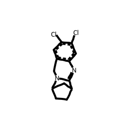 Clc1cc2c(cc1Cl)N=C1C3CCC(C3)N1C2